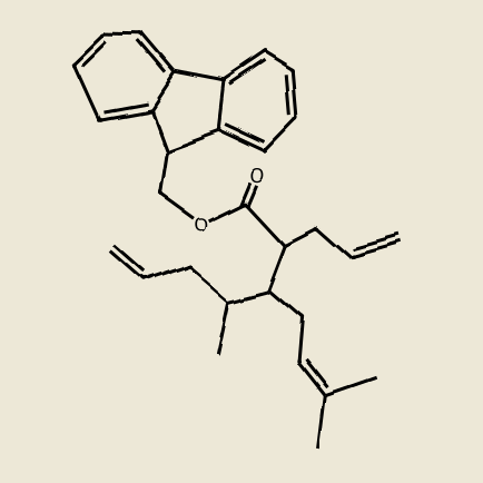 C=CCC(C)C(CC=C(C)C)C(CC=C)C(=O)OCC1c2ccccc2-c2ccccc21